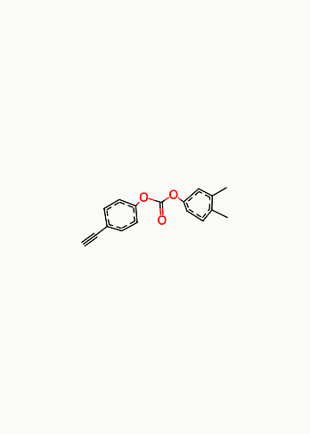 C#Cc1ccc(OC(=O)Oc2ccc(C)c(C)c2)cc1